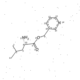 CC(C)C[C@H](N)C(=O)OCc1cccnc1